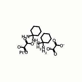 NC1(N)CCCCC1.NC1(N)CCCCC1.O=C([O-])C(=O)[O-].O=C([O-])C(=O)[O-].[Pt+4]